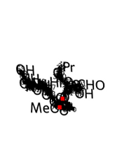 C=C1CC2CN(C(=O)OCc3ccc(O[C@H]4C[C@@H](O)C[C@@H](C=O)O4)c(C(=O)NCCC(C)(C)OCCC(C)C)c3)c3cc(OCCCC(=O)N(I)c4cc(C(=O)Nc5cn(C)c(C(=O)NCCCO)n5)n(C)c4)c(OC)cc3C(=O)N2C1